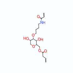 C=CCC(=O)OCC1OCC(O)C(OCCCCNC(=O)C=C)C1O